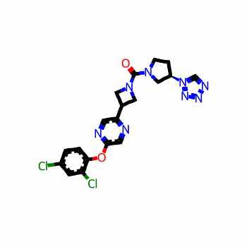 O=C(N1CC(c2cnc(Oc3ccc(Cl)cc3Cl)cn2)C1)N1CC[C@@H](n2cnnn2)C1